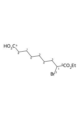 CCOC(=O)C(Br)CCCCCCC(=O)O